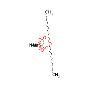 CCCCCCCCCCCCOCCCCCCCCCCCC.O=C([O-])CC(C(=O)[O-])S(=O)(=O)[O-].[Na+].[Na+].[Na+]